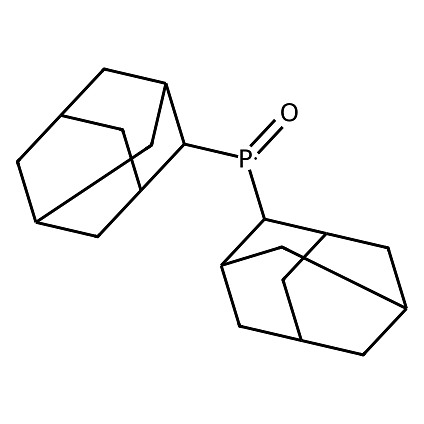 O=[P](C1C2CC3CC(C2)CC1C3)C1C2CC3CC(C2)CC1C3